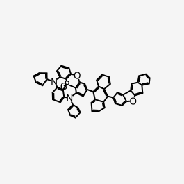 O=P12c3c4cccc3N(c3ccccc3)c3cccc(c31)N(c1ccccc1)c1cc(-c3c5ccccc5c(-c5ccc6oc7cc8ccccc8cc7c6c5)c5ccccc35)cc(c12)O4